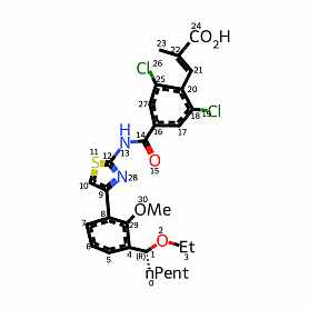 CCCCC[C@@H](OCC)c1cccc(-c2csc(NC(=O)c3cc(Cl)c(C=C(C)C(=O)O)c(Cl)c3)n2)c1OC